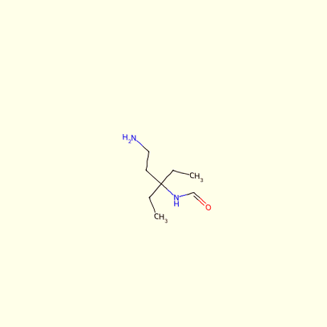 CCC(CC)(CCN)NC=O